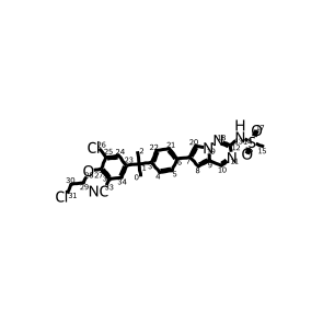 CC(C)(c1ccc(-c2cc3cnc(NS(C)(=O)=O)nn3c2)cc1)c1cc(Cl)c(OCCCl)c(C#N)c1